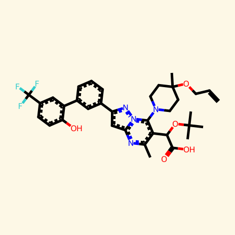 C=CCOC1(C)CCN(c2c(C(OC(C)(C)C)C(=O)O)c(C)nc3cc(-c4cccc(-c5cc(C(F)(F)F)ccc5O)c4)nn23)CC1